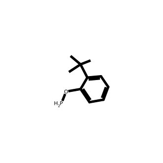 CC(C)(C)c1ccccc1OP